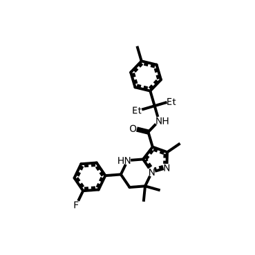 CCC(CC)(NC(=O)c1c(C)nn2c1NC(c1cccc(F)c1)CC2(C)C)c1ccc(C)cc1